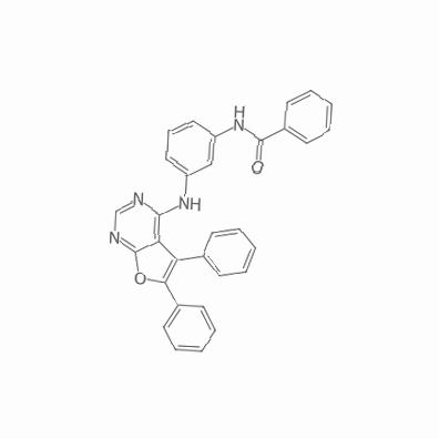 O=C(Nc1cccc(Nc2ncnc3oc(-c4ccccc4)c(-c4ccccc4)c23)c1)c1ccccc1